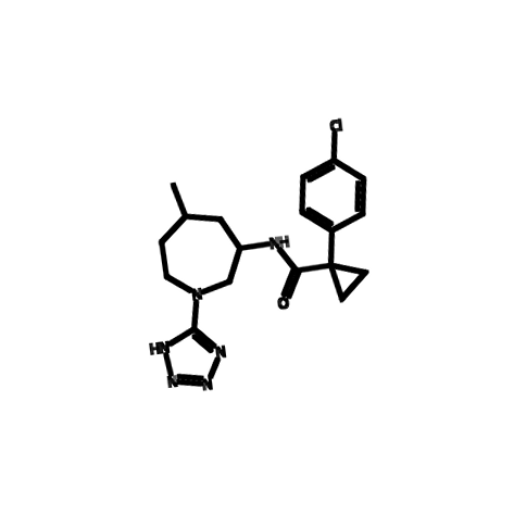 CC1CCN(c2nnn[nH]2)CC(NC(=O)C2(c3ccc(Cl)cc3)CC2)C1